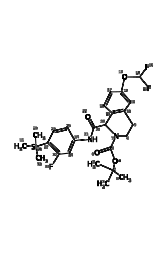 CC(C)(C)OC(=O)N1CCc2cc(OC(F)F)ccc2C1C(=O)Nc1ccc([Si](C)(C)C)c(F)c1